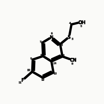 N#Cc1c(SCO)ncc2cc(F)ccc12